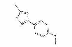 CCc1ccc(-c2noc(C)n2)cc1